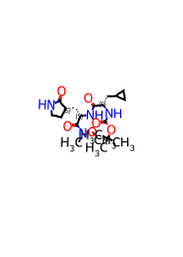 CON(C)C(=O)[C@H](C[C@@H]1CCNC1=O)NC(=O)[C@H](CC1CC1)NC(=O)OC(C)(C)C